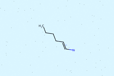 CCCC/C=C/[N]